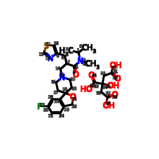 CC(C)N(C)C(=O)C(Cc1cscn1)CN1CCC2(CC1)OCc1ccc(F)cc12.O=C(O)CC(O)(CC(=O)O)C(=O)O